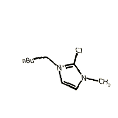 CCCCC[n+]1ccn(C)c1Cl